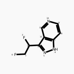 FCC(F)c1n[nH]c2ccncc12